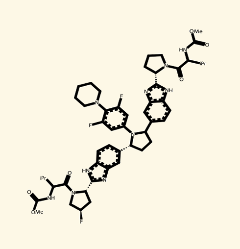 COC(=O)NC(C(=O)N1CCC[C@H]1c1nc2cc(C3CC[C@H](c4ccc5[nH]c([C@@H]6C[C@@H](F)CN6C(=O)C(NC(=O)OC)C(C)C)nc5c4)N3c3cc(F)c(N4CCCCC4)c(F)c3)ccc2[nH]1)C(C)C